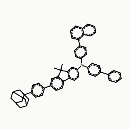 CC1(C)c2cc(-c3ccc(C45CC6CC(CC(C6)C4)C5)cc3)ccc2-c2ccc(N(c3ccc(-c4ccccc4)cc3)c3ccc(-c4cccc5ccccc45)cc3)cc21